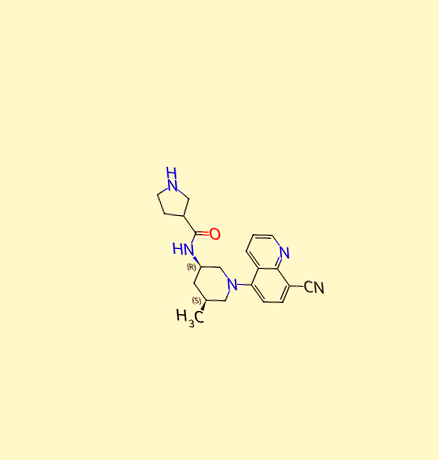 C[C@H]1C[C@@H](NC(=O)C2CCNC2)CN(c2ccc(C#N)c3ncccc23)C1